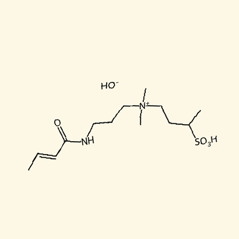 CC=CC(=O)NCCC[N+](C)(C)CCC(C)S(=O)(=O)O.[OH-]